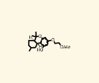 COCCOc1cc(O)c2c(c1)OC(C)(C)[C@@H]1CCC(C)C[C@@H]21